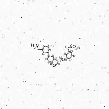 NCc1cccc(-c2ccc3occ(COc4cccc(CC(=O)O)c4)c3c2)c1